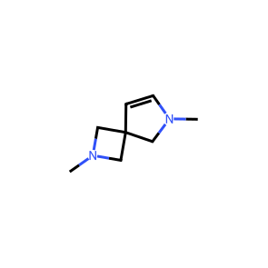 CN1C=CC2(C1)CN(C)C2